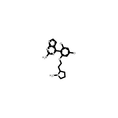 CN1CCCC1CCOc1cc(Cl)cc(Cl)c1-c1nc(N)nc2sccc12